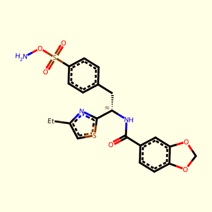 CCc1csc([C@H](Cc2ccc(S(=O)(=O)ON)cc2)NC(=O)c2ccc3c(c2)OCO3)n1